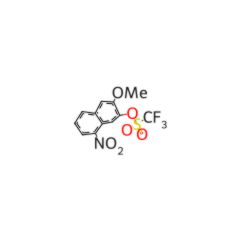 COc1cc2cccc([N+](=O)[O-])c2cc1OS(=O)(=O)C(F)(F)F